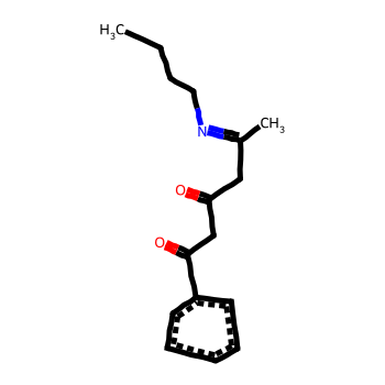 CCCCN=C(C)CC(=O)CC(=O)c1ccccc1